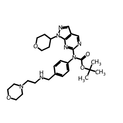 CC(C)(C)OC(=O)N(c1ccc(CNCCN2CCOCC2)cc1)c1ncc2cnn(C3CCOCC3)c2n1